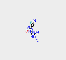 CN(C)c1c(-c2ccc(C#N)c(F)c2)nc(C2CC(N)CCN2)n(C)c1=O